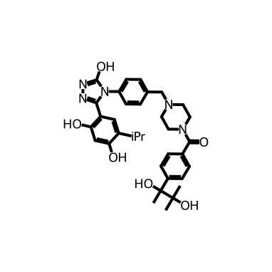 CC(C)c1cc(-c2nnc(O)n2-c2ccc(CN3CCN(C(=O)c4ccc(C(C)(O)C(C)(C)O)cc4)CC3)cc2)c(O)cc1O